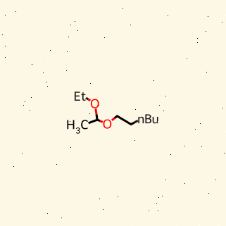 [CH2]CCCCCOC(C)OCC